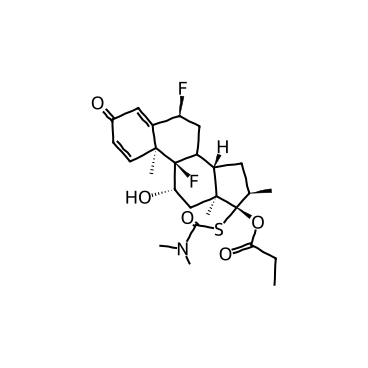 CCC(=O)O[C@]1(SC(=O)N(C)C)[C@H](C)C[C@H]2C3C[C@H](F)C4=CC(=O)C=C[C@]4(C)[C@@]3(F)[C@@H](O)C[C@@]21C